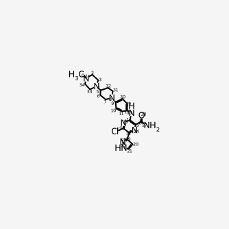 CN1CCN(C2CCN(c3ccc(Nc4nc(Cl)c(-c5cc[nH]n5)nc4C(N)=O)cc3)CC2)CC1